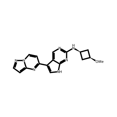 CO[C@H]1C[C@@H](Nc2ncc3c(-c4ccn5nccc5n4)c[nH]c3n2)C1